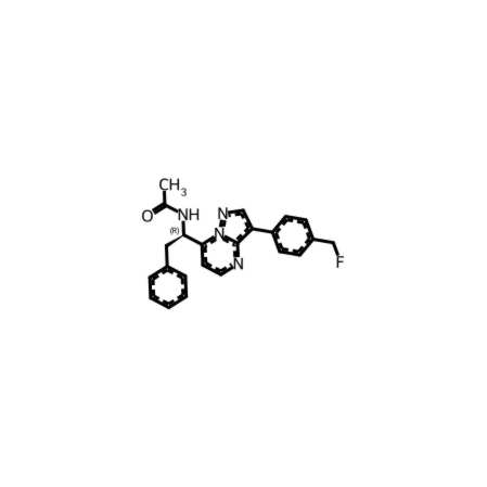 CC(=O)N[C@H](Cc1ccccc1)c1ccnc2c(-c3ccc(CF)cc3)cnn12